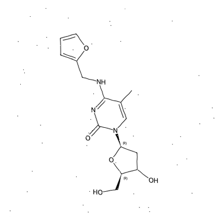 Cc1cn([C@H]2CC(O)[C@@H](CO)O2)c(=O)nc1NCc1ccco1